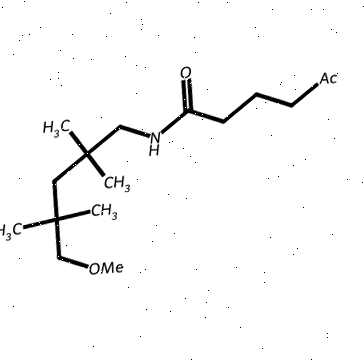 COCC(C)(C)CC(C)(C)CNC(=O)CCCC(C)=O